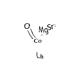 [La].[Mg].[O]=[Co].[Sr]